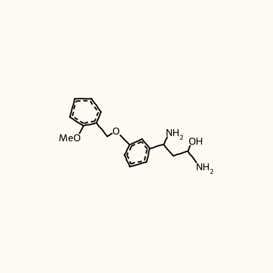 COc1ccccc1COc1cccc(C(N)CC(N)O)c1